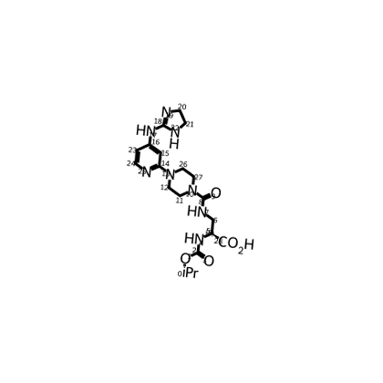 CC(C)OC(=O)N[C@@H](CNC(=O)N1CCN(c2cc(NC3=NCCN3)ccn2)CC1)C(=O)O